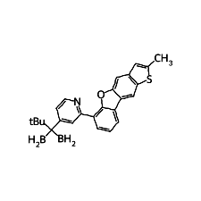 BC(B)(c1ccnc(-c2cccc3c2oc2cc4cc(C)sc4cc23)c1)C(C)(C)C